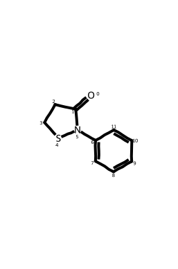 O=C1CCSN1c1ccccc1